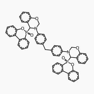 O=P1(C2c3ccccc3OCN2c2ccc(Cc3ccc(N4COc5ccccc5C4P4(=O)Oc5ccccc5-c5ccccc54)cc3)cc2)Oc2ccccc2-c2ccccc21